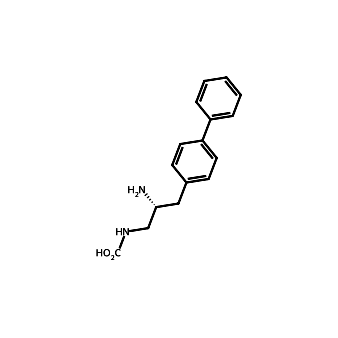 N[C@@H](CNC(=O)O)Cc1ccc(-c2ccccc2)cc1